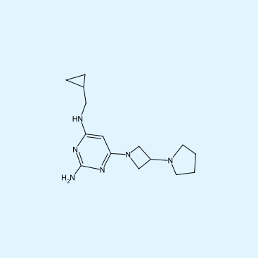 Nc1nc(NCC2CC2)cc(N2CC(N3CCCC3)C2)n1